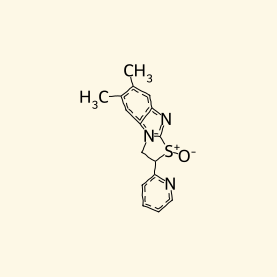 Cc1cc2nc3n(c2cc1C)CC(c1ccccn1)[S+]3[O-]